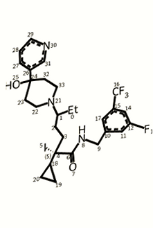 CCC(CC[C@@](I)(C(=O)NCc1cc(F)cc(C(F)(F)F)c1)C1CC1)N1CCC(O)(c2cccnc2)CC1